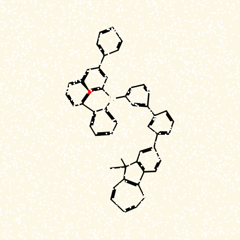 CC1(C)C2=C(CC=CC=C2)c2ccc(-c3cccc(-c4cccc(N(c5cccc(-c6ccccc6)c5)c5ccccc5-c5ccccc5)c4)c3)cc21